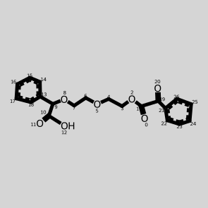 O=C(OCCOCCOC(C(=O)O)c1ccccc1)C(=O)c1ccccc1